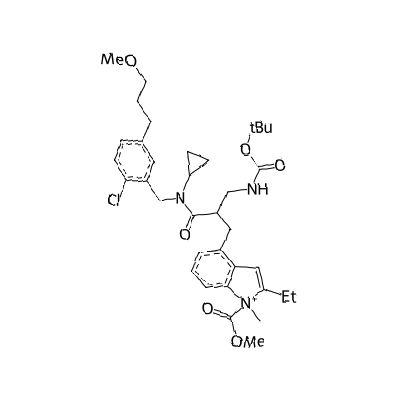 CCC1=Cc2c(CC(CNC(=O)OC(C)(C)C)C(=O)N(Cc3cc(CCCOC)ccc3Cl)C3CC3)cccc2[N+]1(C)C(=O)OC